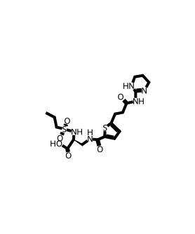 CCCS(=O)(=O)N[C@@H](CNC(=O)c1ccc(CCC(=O)NC2=NCCCN2)s1)C(=O)O